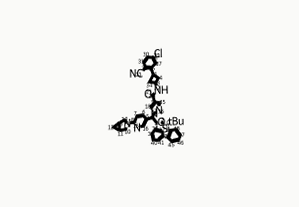 CC(C)(C)[Si](OCC(c1ccc(N2CC3CC3C2)nc1)n1cc(C(=O)NC2CC(c3cc(Cl)ccc3C#N)C2)cn1)(c1ccccc1)c1ccccc1